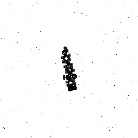 CCOc1ccc(N2CC3CN(C(=O)NC4CCS(=O)(=O)CC4)CC3C2)cc1